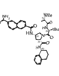 CN[C@@H](C)C(=O)N[C@H](C(=O)N1C[C@@H](NC(=O)c2ccc3cc(C(N)=O)ccc3c2)C[C@H]1C(=O)N[C@@H]1CCCc2ccccc21)C(C)(C)C